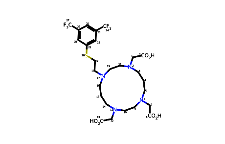 O=C(O)CN1CCCN(CC(=O)O)CCN(CC(=O)O)CCCN(CCSc2cc(C(F)(F)F)cc(C(F)(F)F)c2)CC1